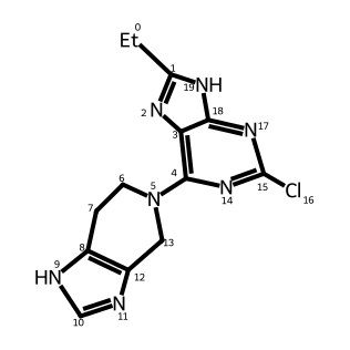 CCc1nc2c(N3CCc4[nH]cnc4C3)nc(Cl)nc2[nH]1